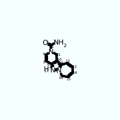 NC(=O)N1C=Cc2nn3c(c2C1)C=CC=CC3.[H+]